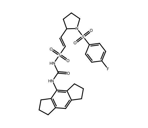 O=C(Nc1c2c(cc3c1CCC3)CCC2)NS(=O)(=O)/C=C/C1CCCN1S(=O)(=O)c1ccc(F)cc1